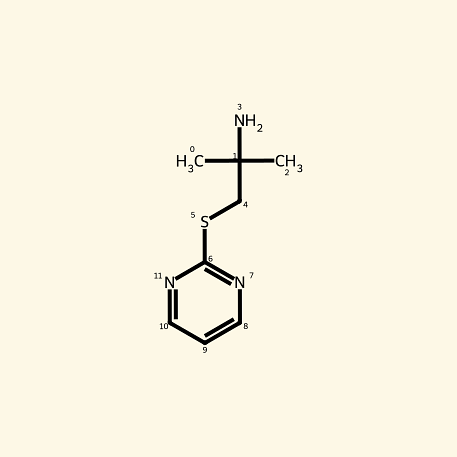 CC(C)(N)CSc1ncccn1